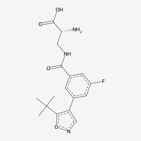 CC(C)(C)c1oncc1-c1cc(F)cc(C(=O)NC[C@@H](N)C(=O)O)c1